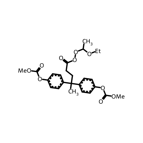 CCOC(C)OOC(=O)CCC(C)(c1ccc(OC(=O)OC)cc1)c1ccc(OC(=O)OC)cc1